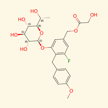 COc1ccc(Cc2c(F)cc(COC(=O)CO)cc2O[C@@H]2O[C@H]([C@@H](C)O)[C@@H](O)[C@H](O)[C@H]2O)cc1